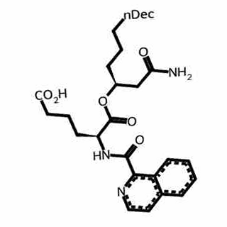 CCCCCCCCCCCCC[C@@H](CC(N)=O)OC(=O)[C@H](CCCC(=O)O)NC(=O)c1nccc2ccccc12